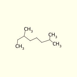 CCC(C)CCCC(C)C